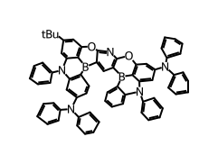 CC(C)(C)c1cc2c3c(c1)N(c1ccccc1)c1cc(N(c4ccccc4)c4ccccc4)ccc1B3c1cc3c(nc1O2)Oc1cc(N(c2ccccc2)c2ccccc2)cc2c1B3c1ccccc1N2c1ccccc1